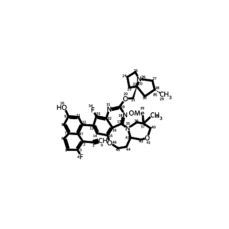 C#Cc1c(F)ccc2cc(O)cc(-c3cc4c5c(nc(OC[C@@]67CCCN6C[C@H](C)C7)nc5c3F)N3CC(C)(OC)COCC3CCO4)c12